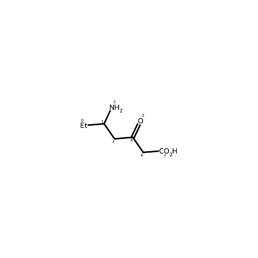 CCC(N)CC(=O)CC(=O)O